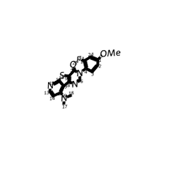 COc1ccc(-n2cnc3c(sc4nccc(N(C)C)c43)c2=O)c(F)c1